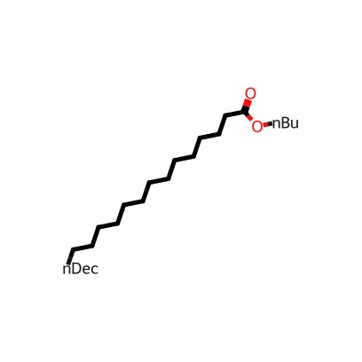 CCCCCCCCCCCCCCCCCCCCCCCC(=O)OCCCC